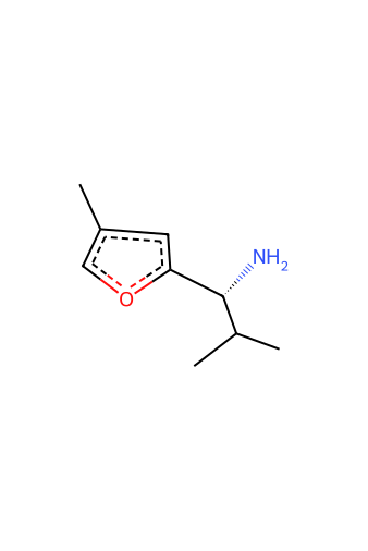 Cc1coc([C@H](N)C(C)C)c1